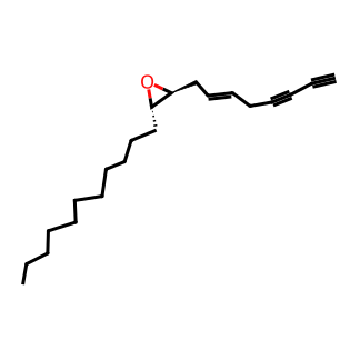 C#CC#CCC=CC[C@@H]1O[C@H]1CCCCCCCCCCC